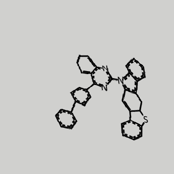 C1=C2c3ccccc3SC2Cc2c1n(-c1nc(-c3ccc(-c4ccccc4)cc3)c3c(n1)=CCCC=3)c1ccccc21